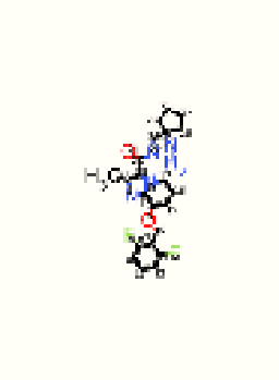 Cc1nc2c(OCc3c(F)cccc3F)cccn2c1C(=O)NCC1(N)CCCC1